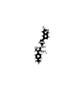 N[C@@H](CNc1ncc(-c2ccc3cnc(F)cc3c2)s1)[C@H](CO)c1ccc(C(F)(F)F)cc1